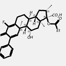 CCC(=O)O[C@]1(C(=O)O)[C@@H](C)C[C@H]2[C@@H]3CCC4=C(F)C(=O)C(c5ccccc5)=C[C@]4(C)[C@H]3[C@@H](O)C[C@@]21C